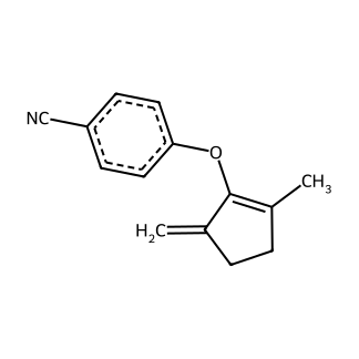 C=C1CCC(C)=C1Oc1ccc(C#N)cc1